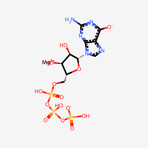 Nc1nc([O-])c2ncn([C@@H]3O[C@H](COP(=O)(O)OP(=O)(O)OP(=O)([O-])O)[C@@H](O)[C@H]3O)c2n1.[Mg+2]